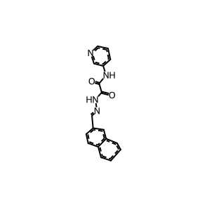 O=C(NN=Cc1ccc2ccccc2c1)C(=O)Nc1cccnc1